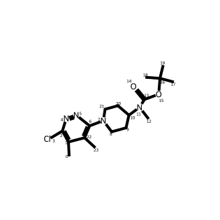 Cc1c(Cl)nnc(N2CCC(N(C)C(=O)OC(C)(C)C)CC2)c1C